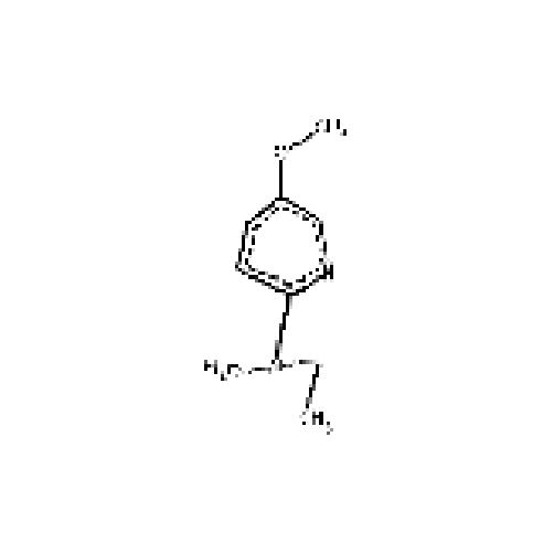 CCN(C)c1ccc(OC)cn1